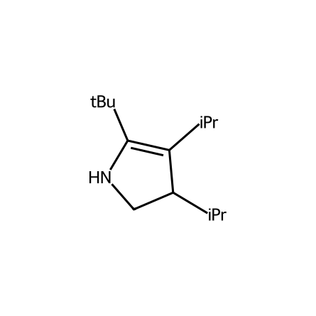 CC(C)C1=C(C(C)(C)C)NCC1C(C)C